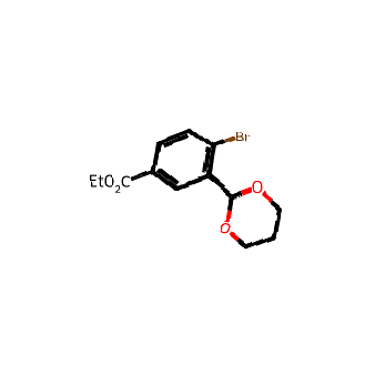 CCOC(=O)c1ccc(Br)c(C2OCCCO2)c1